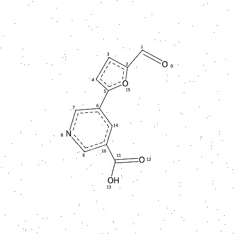 O=Cc1ccc(-c2cncc(C(=O)O)c2)o1